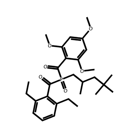 CCc1cccc(CC)c1C(=O)P(=O)(CC(C)CC(C)(C)C)C(=O)c1c(OC)cc(OC)cc1OC